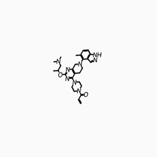 C=CC(=O)N1CCN(c2nc(OC(C)CN(C)C)nc3c2CCN(c2c(C)ccc4[nH]ncc24)C3)CC1